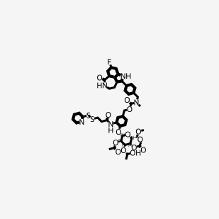 COC(=O)[C@H]1O[C@@H](Oc2ccc(COC(=O)N(C)Cc3ccc(-c4[nH]c5cc(F)cc6c5c4CCNC6=O)cc3)cc2NC(=O)CCSSc2ccccn2)[C@H](OC(C)=O)[C@@H](OC(C)O)[C@@H]1OC(C)=O